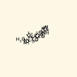 Cn1nccc1[C@@H]1CCCN1[C@H]1CCOc2cc(S(=O)(=O)Nc3ncns3)ccc21